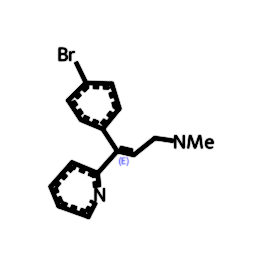 CNC/C=C(\c1ccc(Br)cc1)c1ccccn1